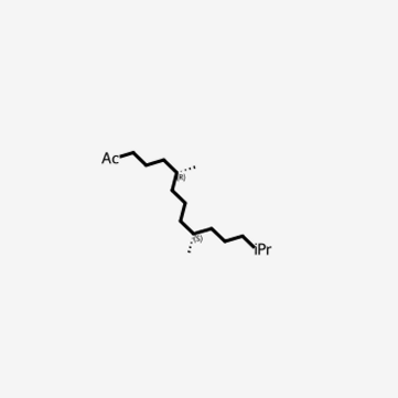 CC(=O)CCC[C@H](C)CCC[C@@H](C)CCCC(C)C